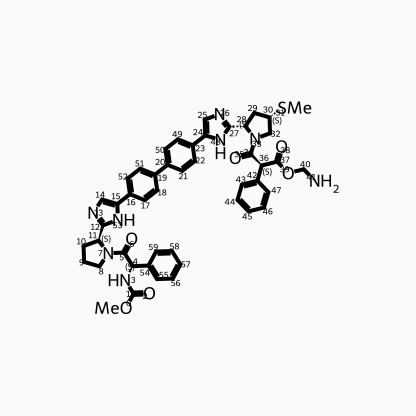 COC(=O)N[C@H](C(=O)N1CCC[C@H]1c1ncc(-c2ccc(-c3ccc(-c4cnc([C@@H]5C[C@H](SC)CN5C(=O)[C@@H](C(=O)OCN)c5ccccc5)[nH]4)cc3)cc2)[nH]1)c1ccccc1